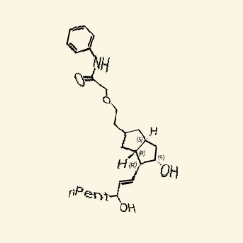 CCCCCC(O)C=C[C@H]1[C@@H]2CC(CCOCC(=O)Nc3ccccc3)C[C@H]2C[C@@H]1O